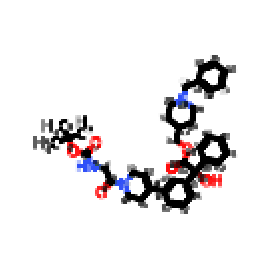 CC(C)(C)OC(=O)NCC(=O)N1CC=C(c2cccc([C@](O)(C(=O)OCC3CCN(Cc4ccccc4)CC3)c3ccccc3)c2)CC1